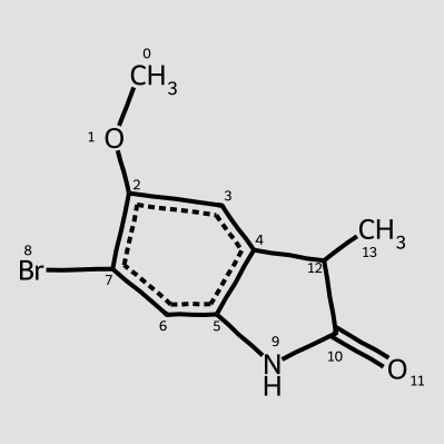 COc1cc2c(cc1Br)NC(=O)C2C